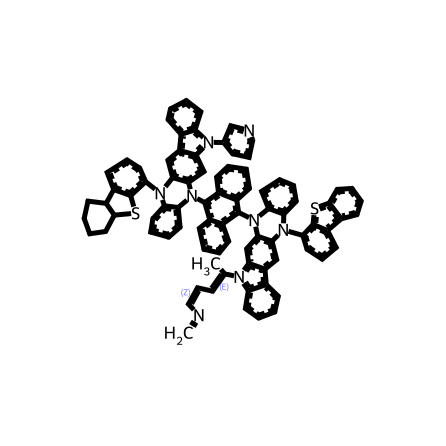 C=N/C=C\C=C(/C)n1c2ccccc2c2cc3c(cc21)N(c1c2ccccc2c(N2c4ccccc4N(c4cccc5c4SC4CCCCC54)c4cc5c6ccccc6n(-c6cccnc6)c5cc42)c2ccccc12)c1ccccc1N3c1cccc2c1sc1ccccc12